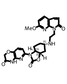 COc1ccc2ccc(=O)n(CCN[C@H]3CC[C@H]4[C@H](C3)OC(=O)N4c3ccc4c(n3)NC(=O)CO4)c2n1